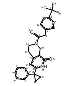 O=C(Cc1ccc(C(F)(F)F)cc1)N1CCc2nc(C3(c4ccccc4)CC3)[nH]c(=O)c2C1